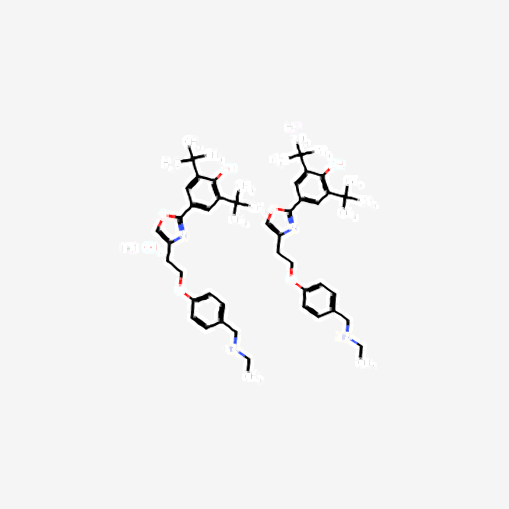 CCNCc1ccc(OCCc2coc(-c3cc(C(C)(C)C)c(O)c(C(C)(C)C)c3)n2)cc1.CCNCc1ccc(OCCc2coc(-c3cc(C(C)(C)C)c(O)c(C(C)(C)C)c3)n2)cc1.Cl.Cl.O